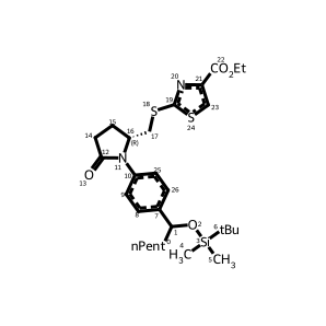 CCCCCC(O[Si](C)(C)C(C)(C)C)c1ccc(N2C(=O)CC[C@@H]2CSc2nc(C(=O)OCC)cs2)cc1